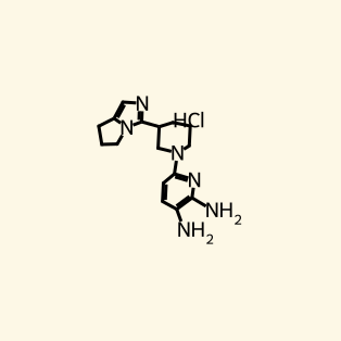 Cl.Nc1ccc(N2CCCC(c3ncc4n3CCC4)C2)nc1N